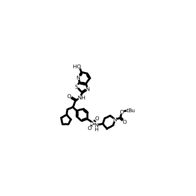 CC(C)(C)OC(=O)N1CCC(NS(=O)(=O)c2ccc(C(CC3CCCC3)C(=O)Nc3nc4ccc(O)nc4s3)cc2)CC1